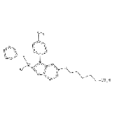 Cc1ccc(-n2c([S+]([O-])Cc3ccccc3)nc3ccc(OCCCCCC(=O)O)cc32)cc1